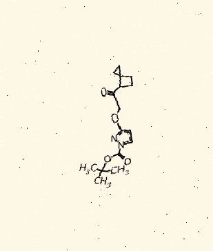 CC(C)(C)OC(=O)n1ccc(OCC(=O)C2CCC23CC3)n1